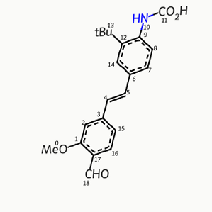 COc1cc(C=Cc2ccc(NC(=O)O)c(C(C)(C)C)c2)ccc1C=O